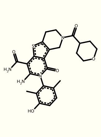 Cc1ccc(O)c(C)c1-n1c(N)c(C(N)=O)c2sc3c(c2c1=O)CN(C(=O)C1CCOCC1)CC3